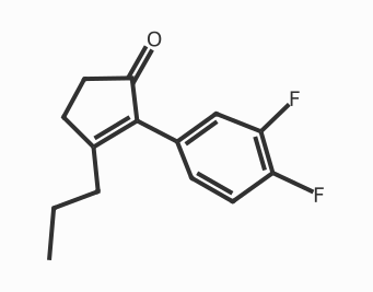 CCCC1=C(c2ccc(F)c(F)c2)C(=O)CC1